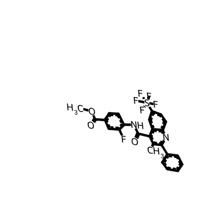 COC(=O)c1ccc(NC(=O)c2c(C)c(-c3ccccc3)nc3ccc(S(F)(F)(F)(F)F)cc23)c(F)c1